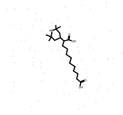 CC1(C)CC(C(CCCCCCCCCC(=O)O)C(=O)O)CC(C)(C)N1